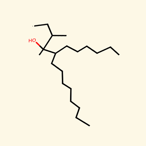 [CH2]CC(C)C(C)(O)C(CCCCCC)CCCCCCCC